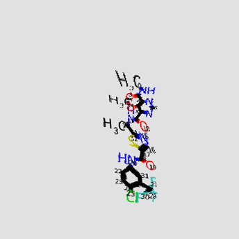 CNC(=O)c1ncnc(C(=O)N[C@H](C)c2ncc(C(=O)Nc3ccc(Cl)c(C(F)(F)F)c3)s2)c1OC